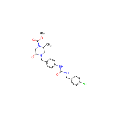 CC1CN(Cc2ccc(NC(=O)NCc3ccc(Cl)cc3)cc2)C(=O)CN1C(=O)OC(C)(C)C